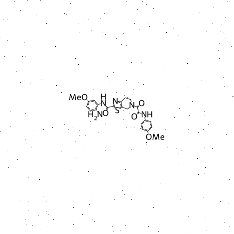 COc1ccc(NC(=O)C(=O)N2CCc3nc(C(=O)Nc4cc(OC)ccc4N)sc3C2)cc1